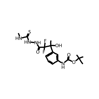 CNC(=S)NNC(=O)C(F)(F)C(C)(O)c1cccc(NC(=O)OC(C)(C)C)c1